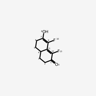 O=C1CCC2CCC(O)=C(F)C2=C1F